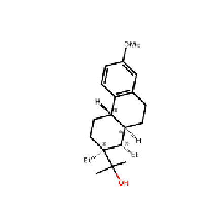 CC[C@H]1[C@@H]2CCc3cc(OC)ccc3[C@H]2CC[C@]1(CC)C(C)(C)O